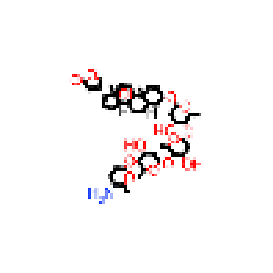 CC1O[C@@H](OC2C(C)O[C@@H](O[C@H]3CCC4(C)C5CCC6(C)[C@@H](C7=CC(=O)OC7)CC[C@]6(O)[C@@H]5CC[C@@H]4C3)C[C@H]2O)C[C@@H](O)C1O[C@H]1C[C@@H](O)C(O[C@@H]2CC[C@H](N)C(C)O2)C(C)O1